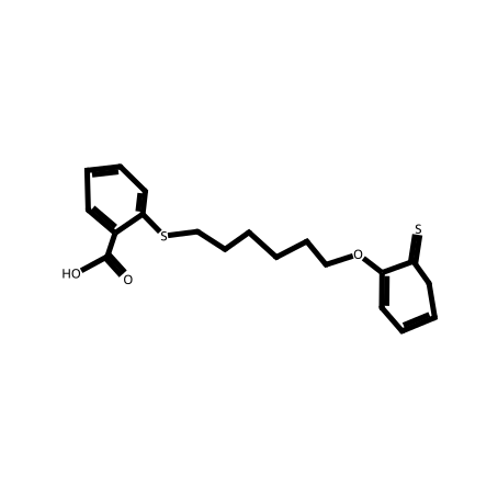 O=C(O)c1ccccc1SCCCCCCOC1=CC=CCC1=S